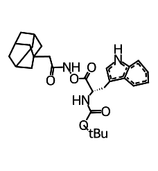 CC(C)(C)OC(=O)N[C@@H](Cc1c[nH]c2ccccc12)C(=O)ONC(=O)CC12CC3CC(CC(C3)C1)C2